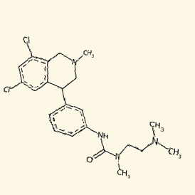 CN(C)CCN(C)C(=O)Nc1cccc(C2CN(C)Cc3c(Cl)cc(Cl)cc32)c1